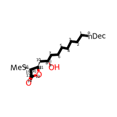 CCCCCCCCCCCCCCCCC[C@H](O)C[C@@H]1OC(=O)[C@@H]1SC